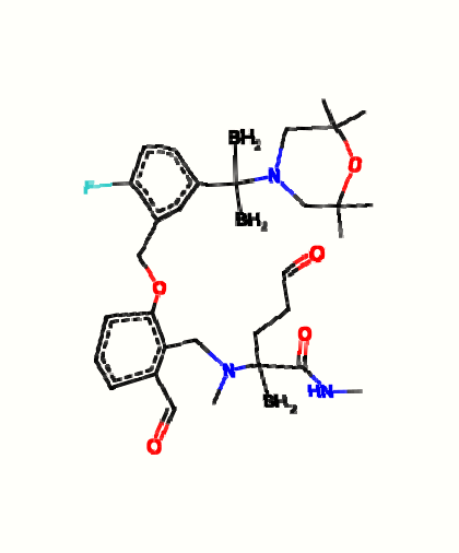 BC(CCC=O)(C(=O)NC)N(C)Cc1c(C=O)cccc1OCc1cc(C(B)(B)N2CC(C)(C)OC(C)(C)C2)ccc1F